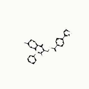 CC(=O)c1c(CNC(=O)c2ccc(-c3cc[nH]n3)cc2)c(=O)c2ccc(Cl)cc2n1-c1ccccc1